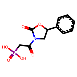 O=C(CP(=O)(O)O)N1CC(c2ccccc2)OC1=O